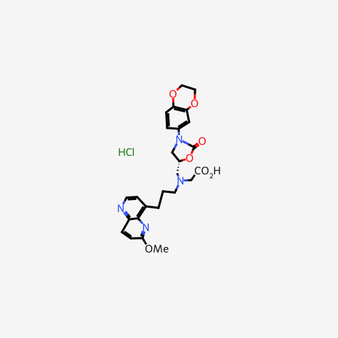 COc1ccc2nccc(CCCN(CC(=O)O)C[C@@H]3CN(c4ccc5c(c4)OCCO5)C(=O)O3)c2n1.Cl